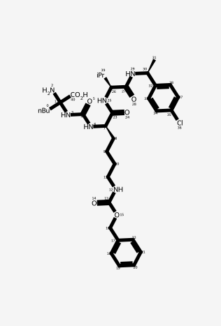 CCCCC(N)(NC(=O)N[C@H](CCCCNC(=O)OCc1ccccc1)C(=O)N[C@H](C(=O)N[C@@H](C)c1ccc(Cl)cc1)C(C)C)C(=O)O